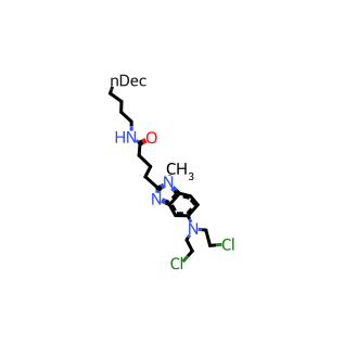 CCCCCCCCCCCCCCNC(=O)CCCc1nc2cc(N(CCCl)CCCl)ccc2n1C